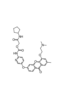 Cc1cc(OCCN(C)C)c2oc3cc(Oc4ccc(NC(=O)OCC(=O)NC5CCCC5)nc4)ccc3c(=O)c2c1